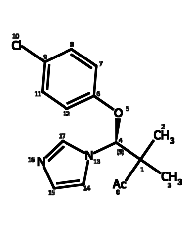 CC(=O)C(C)(C)[C@H](Oc1ccc(Cl)cc1)n1ccnc1